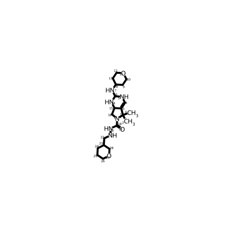 CC1(C)C2=CNC(NC3CCOCC3)NC2CN1C(=O)NNCC1CCCOC1